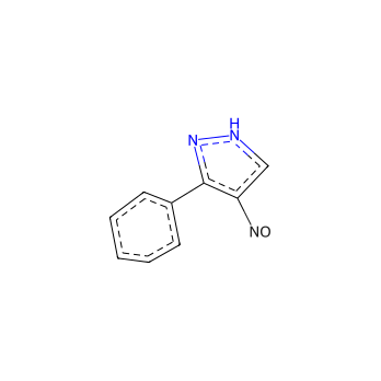 O=Nc1c[nH]nc1-c1ccccc1